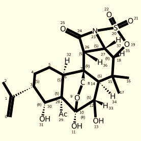 C=C(C)[C@@H]1CC[C@H]2[C@@]34CO[C@@](O)([C@@H](O)[C@@H]3C(C)(C)[C@H]3OS(=O)(=O)N5C(=O)[C@@H]4[C@@H]35)[C@@]2(C(C)=O)[C@@H]1O